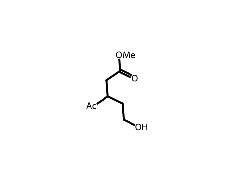 COC(=O)CC(CCO)C(C)=O